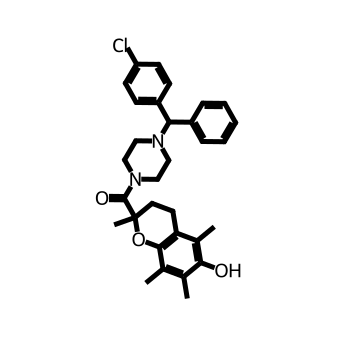 Cc1c(C)c2c(c(C)c1O)CCC(C)(C(=O)N1CCN(C(c3ccccc3)c3ccc(Cl)cc3)CC1)O2